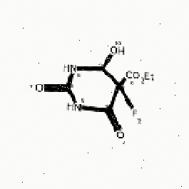 CCOC(=O)C1(F)C(=O)NC(=O)NC1O